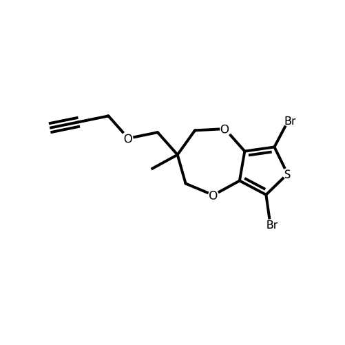 C#CCOCC1(C)COc2c(Br)sc(Br)c2OC1